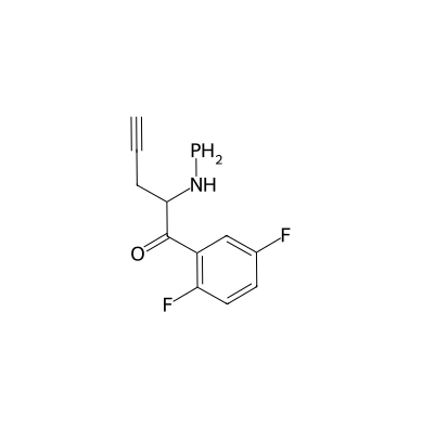 C#CCC(NP)C(=O)c1cc(F)ccc1F